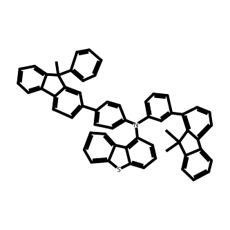 CC1(C)c2ccccc2-c2cccc(-c3cccc(N(c4ccc(-c5ccc6c(c5)C(C)(c5ccccc5)c5ccccc5-6)cc4)c4cccc5sc6ccccc6c45)c3)c21